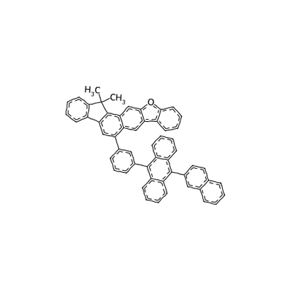 CC1(C)c2ccccc2-c2cc(-c3cccc(-c4c5ccccc5c(-c5ccc6ccccc6c5)c5ccccc45)c3)c3cc4c(cc3c21)oc1ccccc14